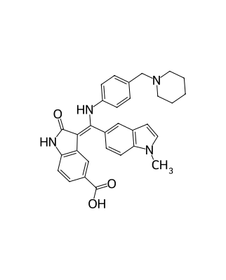 Cn1ccc2cc(/C(Nc3ccc(CN4CCCCC4)cc3)=C3/C(=O)Nc4ccc(C(=O)O)cc43)ccc21